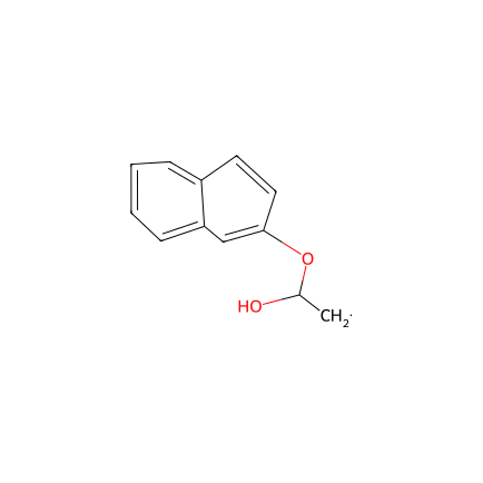 [CH2]C(O)Oc1ccc2ccccc2c1